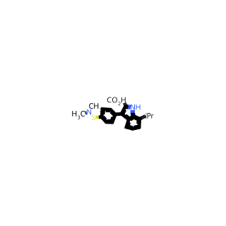 CC(C)c1cccc2c(-c3ccc(SN(C)C)cc3)c(C(=O)O)[nH]c12